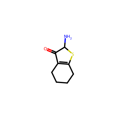 NC1SC2=C(CCCC2)C1=O